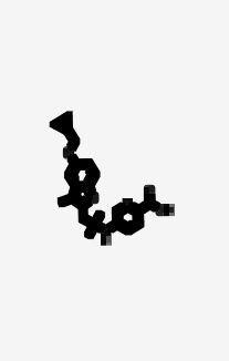 Cc1c(CC(C)(C)Nc2ccc(C(=O)O)nc2)oc2ccc(OCC3CC3)cc12